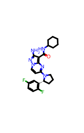 Nc1nn2ccc(N3CCC[C@@H]3c3cc(F)ccc3F)nc2c1C(=O)NC1CCCCC1